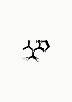 CC(C)N(C(=O)O)c1ncc[nH]1